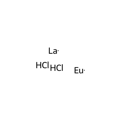 Cl.Cl.[Eu].[La]